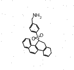 NCc1ccc(S(=O)(=O)C2CC3=C(C=CCC3)c3ccc4ccccc4c32)cc1